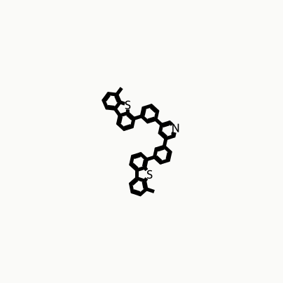 Cc1cccc2c1sc1c(-c3cccc(-c4cncc(-c5cccc(-c6cccc7c6sc6c(C)cccc67)c5)c4)c3)cccc12